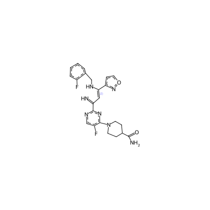 N=C(/C=C(\NCc1ccccc1F)c1ccon1)c1ncc(F)c(N2CCC(C(N)=O)CC2)n1